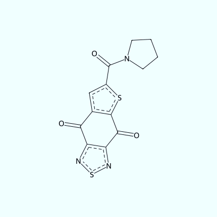 O=C1c2cc(C(=O)N3CCCC3)sc2C(=O)c2nsnc21